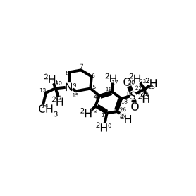 [2H]c1c([2H])c(C2CCCN(C([2H])([2H])CC)C2)c([2H])c(S(=O)(=O)C([2H])([2H])[2H])c1[2H]